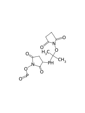 CC(C)(ON1C(=O)CCC1=O)PC1CC(=O)N(OP=O)C1=O